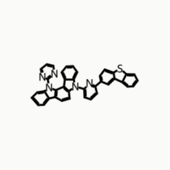 c1cnc(-n2c3ccccc3c3ccc4c(c5ccccc5n4-c4cccc(-c5ccc6sc7ccccc7c6c5)n4)c32)nc1